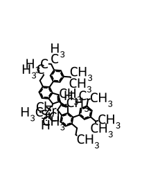 CCCc1ccc2c(c1-c1cc(C(C)C)cc(C(C)C)c1)C=C(CC)[CH]2[Zr]([Cl])([Cl])([CH]1C(CC)=Cc2c1ccc(CCC)c2-c1cc(C(C)C)cc(C(C)C)c1)[SiH](C)C